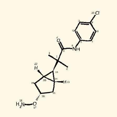 CC(C)(C(=O)Nc1ccc(Cl)cc1)[C@H]1[C@@H]2C[C@H](ON)C[C@@H]21